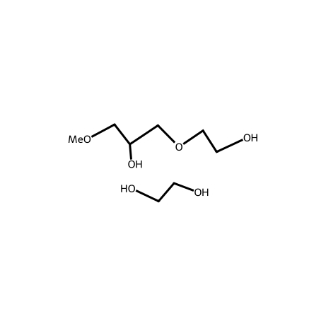 COCC(O)COCCO.OCCO